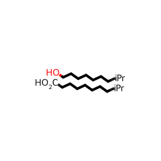 CC(C)CCCCCCCC(=O)O.CC(C)CCCCCCCO